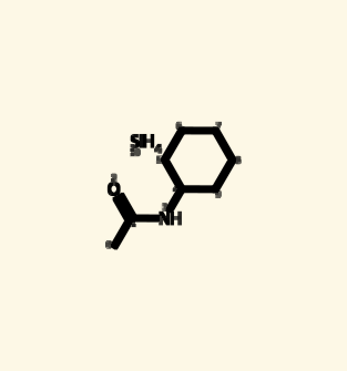 CC(=O)NC1CCCCC1.[SiH4]